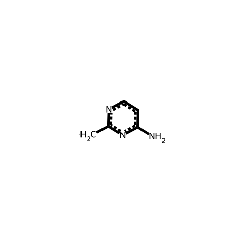 [CH2]c1nccc(N)n1